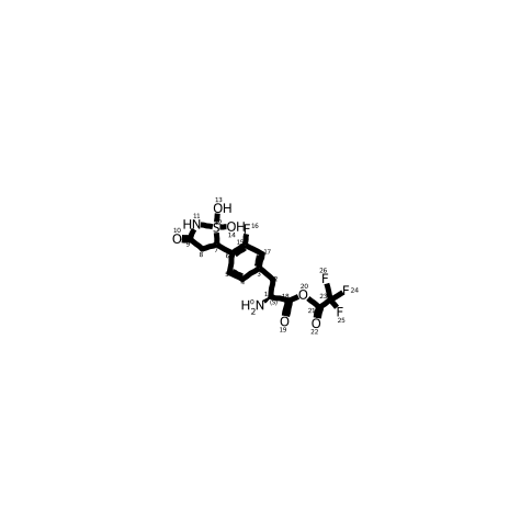 N[C@@H](Cc1ccc(C2CC(=O)NS2(O)O)c(F)c1)C(=O)OC(=O)C(F)(F)F